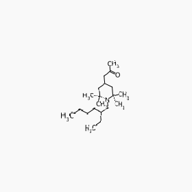 CCCCC(CC)CN1C(C)(C)CC(CC(C)=O)CC1(C)C